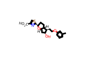 Cc1cccc(OCC[C@@H]2[C@H]3CC[C@H](c4nc(C(=O)O)cs4)O[C@H]3C[C@H]2O)c1